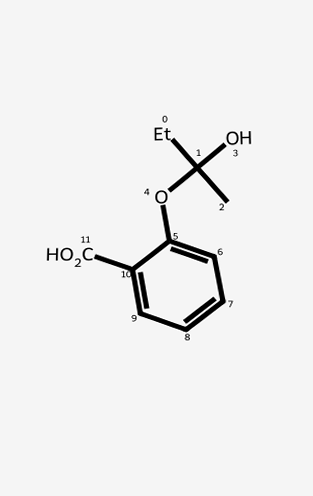 CCC(C)(O)Oc1ccccc1C(=O)O